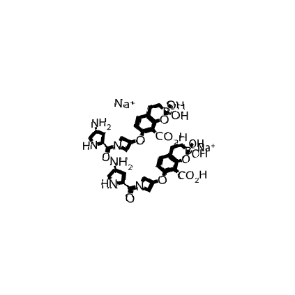 N[C@@H]1CN[C@H](C(=O)N2CC(Oc3ccc4c(c3C(=O)O)O[B-](O)(O)CC4)C2)C1.N[C@@H]1CN[C@H](C(=O)N2CC(Oc3ccc4c(c3C(=O)O)O[B-](O)(O)CC4)C2)C1.[Na+].[Na+]